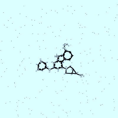 COc1cccc2c1[nH]c1nc(Oc3cncnc3)nc(N3CC4C(N)C4C3)c12